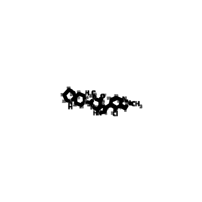 Cn1cc2c(Cl)c(-c3c[nH]c4nc(N5CCC6(CCCCN6)CC5)n(C)c(=O)c34)ccc2n1